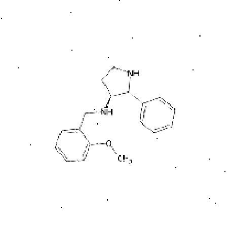 COc1ccccc1CN[C@H]1CCN[C@@H]1c1ccccc1